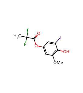 COc1cc(OC(=O)C(C)(F)F)cc(I)c1O